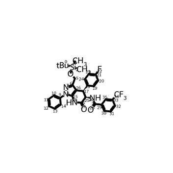 CC(C)(C)[Si](C)(C)OCc1nn(-c2ccccc2)c2c1[C@@H](c1ccc(F)cc1)[C@@H](NC(=O)c1cccc(C(F)(F)F)c1)C(=O)N2